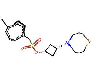 Cc1ccc(S(=O)(=O)O[C@H]2C[C@@H](N3CCSCC3)C2)cc1